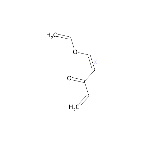 C=CO/C=C\C(=O)C=C